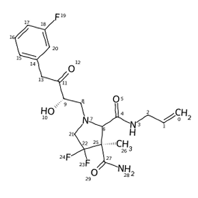 C=CCNC(=O)C1N([CH][C@H](O)C(=O)Cc2cccc(F)c2)CC(F)(F)[C@]1(C)C(N)=O